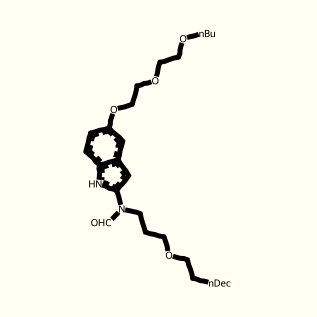 CCCCCCCCCCCCOCCCN(C=O)c1cc2cc(OCCOCCOCCCC)ccc2[nH]1